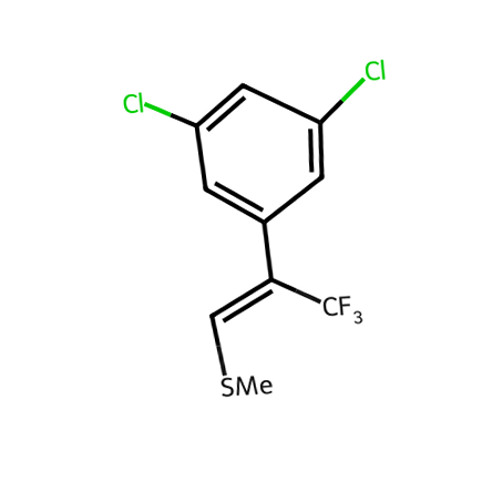 CS/C=C(/c1cc(Cl)cc(Cl)c1)C(F)(F)F